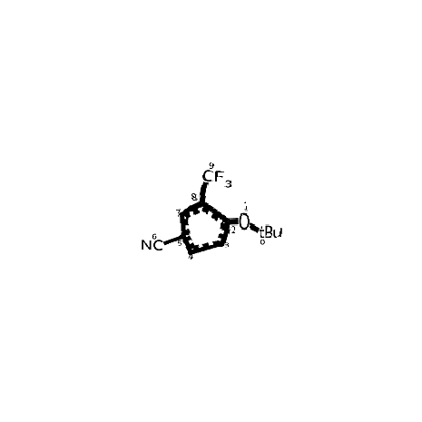 CC(C)(C)Oc1ccc(C#N)cc1C(F)(F)F